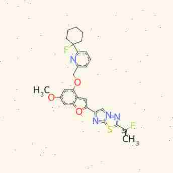 COc1cc(OCc2cccc(C3(F)CCCCC3)n2)c2cc(-c3cn4nc([C@H](C)F)sc4n3)oc2c1